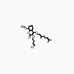 CC/C=C/CCOc1c(OC/C=C(\C)CCC=C(C)C)c2cccc(OC(C)(C)C)c2oc1=O